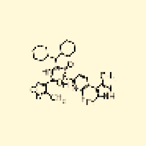 CCc1[nH]nc(C)c1-c1ccc(NC(=O)[C@@H](NC(=O)c2conc2C)C(C2CCCCC2)C2CCCCC2)nc1F